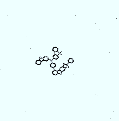 CC1(C)c2ccccc2-c2cc(N(c3ccc(-c4cccc5oc6cc7oc(-c8ccccc8)nc7cc6c45)cc3)c3ccc4sc5ccccc5c4c3)ccc21